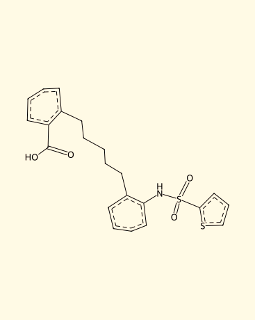 O=C(O)c1ccccc1CCCCCc1ccccc1NS(=O)(=O)c1cccs1